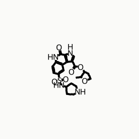 CC1OCCC1OC(=O)c1c[nH]c2c(=O)[nH]c3ccc(S(=O)(=O)NC4CCNCC4)cc3c12